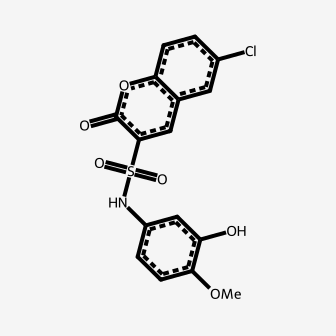 COc1ccc(NS(=O)(=O)c2cc3cc(Cl)ccc3oc2=O)cc1O